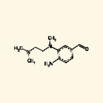 CN(C)CCN(C)c1cc(C=O)ccc1N